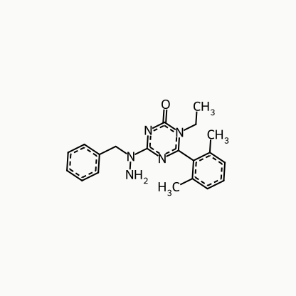 CCn1c(-c2c(C)cccc2C)nc(N(N)Cc2ccccc2)nc1=O